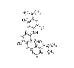 C=C(C)c1cc(CC)c(Nc2ncc(Cl)c(Cc3cccc(CN(C)C)c3C=O)n2)cc1Cl